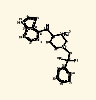 Cl.FC(F)(CN1CCC(Nc2ncnc3[nH]ccc23)CC1)c1ccccn1